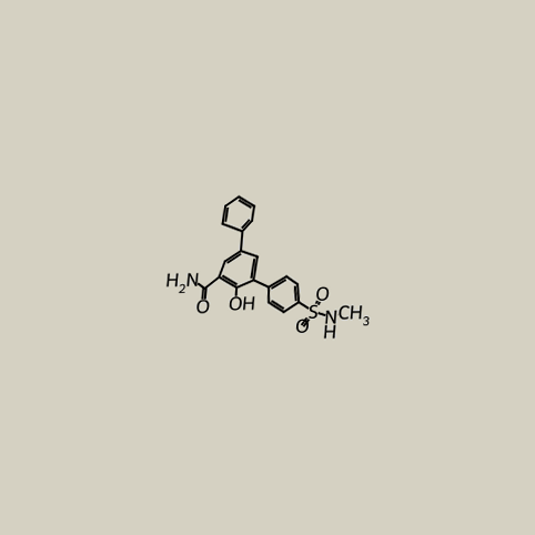 CNS(=O)(=O)c1ccc(-c2cc(-c3ccccc3)cc(C(N)=O)c2O)cc1